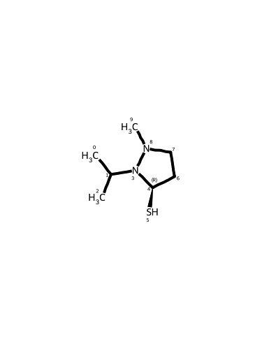 CC(C)N1[C@H](S)CCN1C